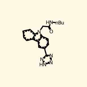 CCCCNC(=O)Cn1c2ccccc2c2cc(-c3nn[nH]n3)ccc21